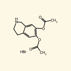 Br.CC(=O)Oc1cc2c(cc1OC(C)=O)CNCC2